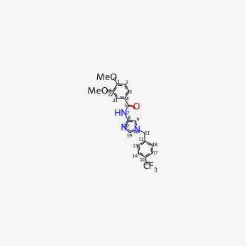 COc1ccc(C(=O)Nc2cn(Cc3ccc(C(F)(F)F)cc3)cn2)cc1OC